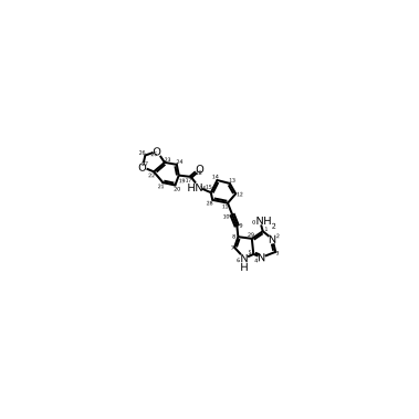 Nc1ncnc2[nH]cc(C#Cc3cccc(NC(=O)c4ccc5c(c4)OCO5)c3)c12